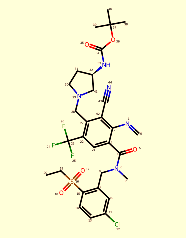 C=Nc1c(C(=O)N(C)Cc2cc(Cl)ccc2S(=O)(=O)CC)cc(C(F)(F)F)c(CN2CC[C@@H](NC(=O)OC(C)(C)C)C2)c1C#N